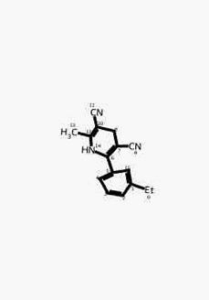 CCc1cccc(C2=C(C#N)CC(C#N)=C(C)N2)c1